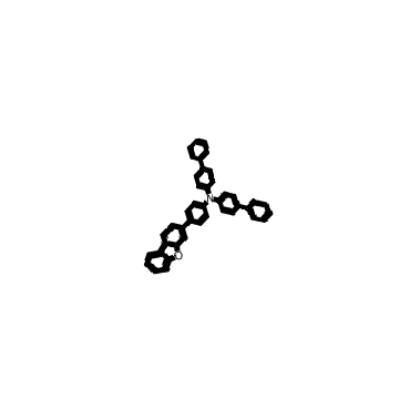 C1=CC2c3ccccc3OC2C=C1c1ccc(N(c2ccc(-c3ccccc3)cc2)c2ccc(-c3ccccc3)cc2)cc1